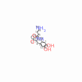 COC(=O)C(Cc1ccc(O)c(O)c1)NC(=O)CCCN